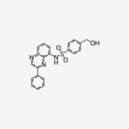 O=S(=O)(Nc1cccc2ncc(-c3ccccc3)nc12)c1ccc(CO)cc1